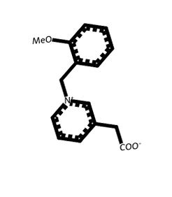 COc1ccccc1C[n+]1cccc(CC(=O)[O-])c1